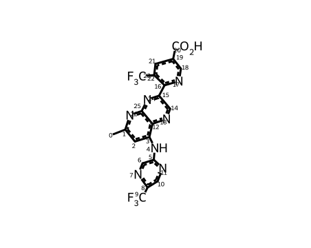 Cc1cc(Nc2cnc(C(F)(F)F)cn2)c2ncc(-c3ncc(C(=O)O)cc3C(F)(F)F)nc2n1